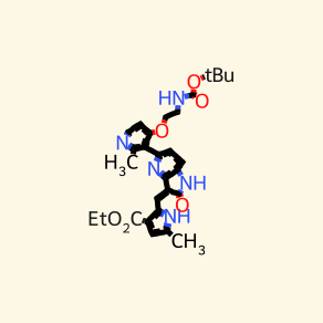 CCOC(=O)c1cc(C)[nH]c1/C=C1\C(=O)Nc2ccc(-c3c(OCCNC(=O)OC(C)(C)C)ccnc3C)nc21